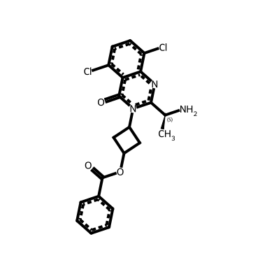 C[C@H](N)c1nc2c(Cl)ccc(Cl)c2c(=O)n1C1CC(OC(=O)c2ccccc2)C1